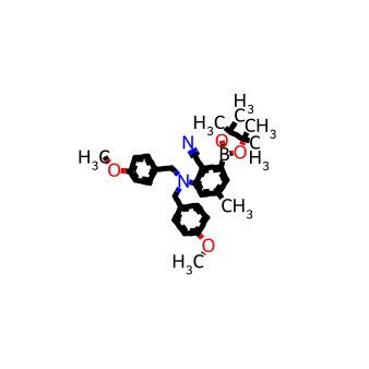 COc1ccc(CN(Cc2ccc(OC)cc2)c2cc(C)cc(B3OC(C)(C)C(C)(C)O3)c2C#N)cc1